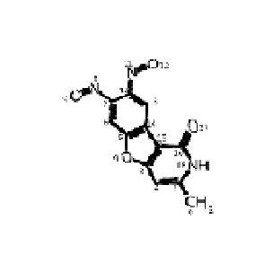 Cc1cc2oc3cc(N=O)c(N=O)cc3c2c(=O)[nH]1